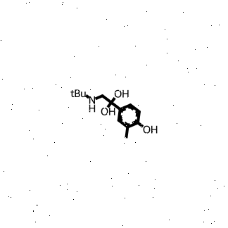 Cc1cc(C(O)(O)CNC(C)(C)C)ccc1O